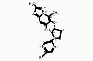 Cc1nc2nc(C)c(O[C@@H]3CCN(c4cnc(Br)cn4)C3)c(C)n2n1